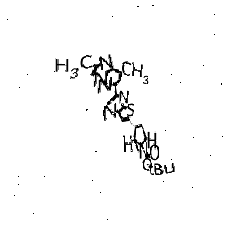 Cc1cn2nc(-c3cnc4cc([C@@H]5C[C@H]6C[C@@H]5CN6C(=O)OC(C)(C)C)sc4n3)cc(C)c2n1